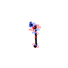 O=C(CCCCCCCCCCN1C(=O)C=CC1=O)NCC(=O)N[C@@H]1[C@@H](O)[C@H](O)[C@@H](Nc2ncnc3nc[nH]c23)O[C@H]1CO